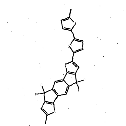 Cc1ccc(-c2ccc(-c3cc4c(s3)-c3cc5c(cc3C4(F)F)-c3sc(C)cc3C5(F)F)s2)s1